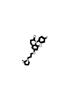 C[C@@H]1CCCN1CCCOc1cc(Cl)c2c(c1)CCC(=O)N2c1ccc(F)cc1